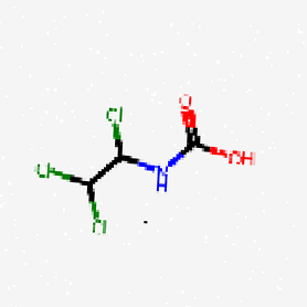 O=C(O)NC(Cl)C(Cl)Cl